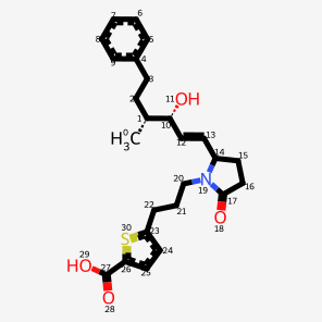 C[C@H](CCc1ccccc1)[C@H](O)C=CC1CCC(=O)N1CCCc1ccc(C(=O)O)s1